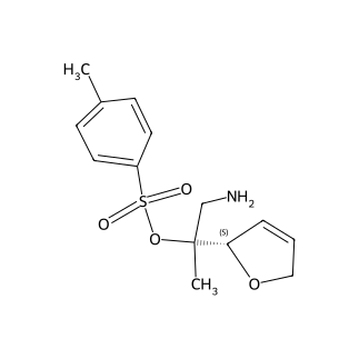 Cc1ccc(S(=O)(=O)OC(C)(CN)[C@@H]2C=CCO2)cc1